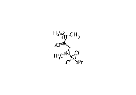 CC(C)S(=O)(=O)N(C)CC(=O)N(C)C